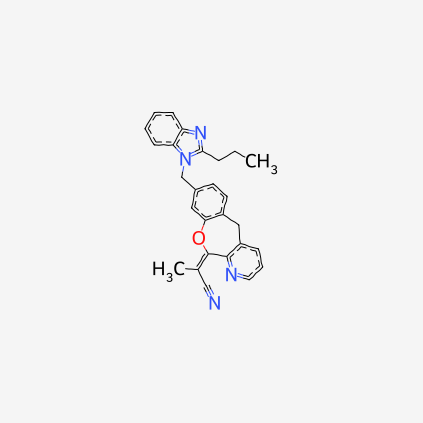 CCCc1nc2ccccc2n1Cc1ccc2c(c1)OC(=C(C)C#N)c1ncccc1C2